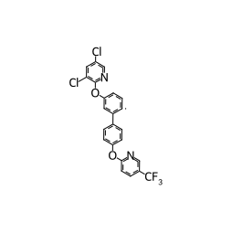 FC(F)(F)c1ccc(Oc2ccc(-c3[c]ccc(Oc4ncc(Cl)cc4Cl)c3)cc2)nc1